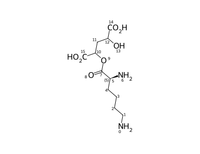 NCCCC[C@H](N)C(=O)OC(CC(O)C(=O)O)C(=O)O